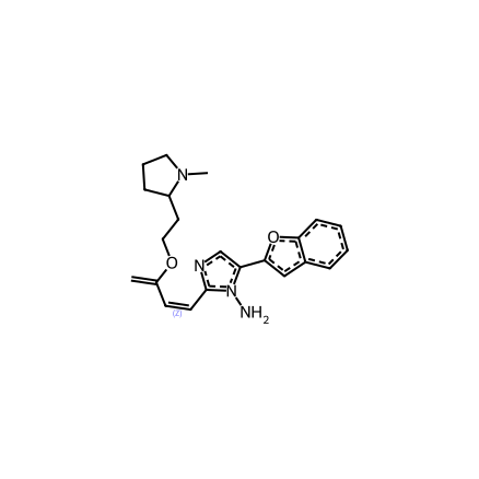 C=C(/C=C\c1ncc(-c2cc3ccccc3o2)n1N)OCCC1CCCN1C